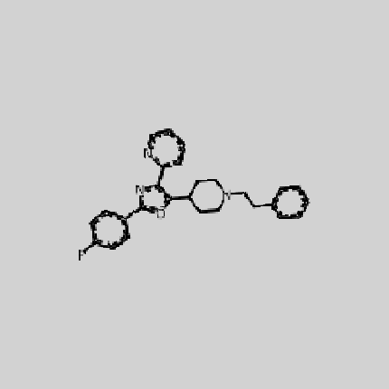 Fc1ccc(-c2nc(-c3ccccn3)c(C3CCN(CCc4ccccc4)CC3)o2)cc1